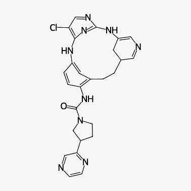 O=C(Nc1ccc2cc1CCC1C=NC=C(C1)Nc1ncc(Cl)c(n1)N2)N1CCC(c2cnccn2)C1